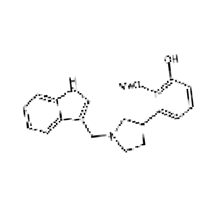 COc1c(O)cccc1C1CCN(Cc2c[nH]c3ccccc23)C1